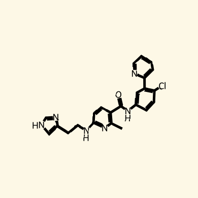 Cc1nc(NCCc2c[nH]cn2)ccc1C(=O)Nc1ccc(Cl)c(-c2ccccn2)c1